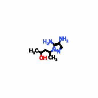 CC(O)CC(C)n1ncc(N)c1N